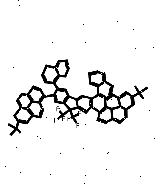 CC(C)(C)C1=CC2=CC=C3C=CC(c4cc5c(cc4-c4cccc6ccccc46)-c4cc(C6=C7CC=CC=C7CC=C6)c(-c6ccc7c8c9c(ccc68)C=C(C(C)(C)C)CC9=CC7)cc4C5(C(F)(F)F)C(F)(F)F)=C4C=CC(=C1)C2C34